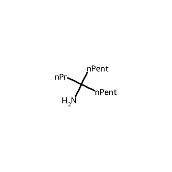 CCCCCC(N)(CCC)CCCCC